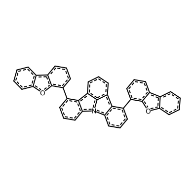 c1ccc2c(c1)oc1c(-c3cccc4c3c3cccc5c6c(-c7cccc8c7oc7ccccc78)cccc6n4c35)cccc12